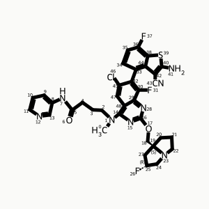 CN(CCCC(=O)Nc1cccnc1)c1nc(OC[C@@]23CCCN2C[C@H](F)C3)nc2c(F)c(-c3ccc(F)c4sc(N)c(C#N)c34)c(Cl)cc12